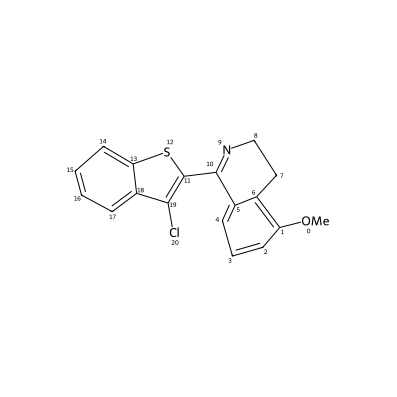 COc1cccc2c1CCN=C2c1sc2ccccc2c1Cl